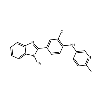 CCCn1c(-c2ccc(Nc3ccc(C)nc3)c(Cl)c2)nc2ccccc21